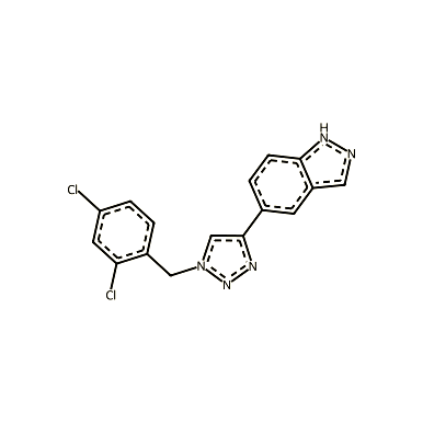 Clc1ccc(Cn2cc(-c3ccc4[nH]ncc4c3)nn2)c(Cl)c1